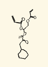 C=CC(=O)OCC(ONC(=O)CC1CCCCC1)OC(=O)C=C